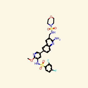 COc1ncc(-c2ccc3nc(N)c(CNS(=O)(=O)N4CCOCC4)cc3c2)cc1NS(=O)(=O)c1ccc(F)cc1F